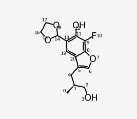 C[C@H](CO)Cc1coc2c(F)c(O)c(C3OCCO3)cc12